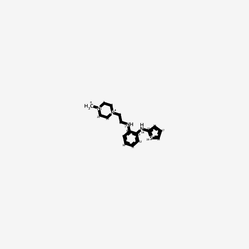 CN1CCN(CCNc2ccccc2Nc2cccs2)CC1